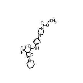 CCOC(=O)N1CCN(c2ccc(NC(=O)c3oc(N4CCCCCC4)nc3C(F)(F)F)cn2)CC1